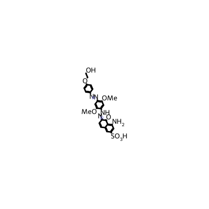 COc1cc(N/N=C2/C=Cc3cc(S(=O)(=O)O)cc(N)c3C2=O)c(OC)cc1/N=N/c1ccc(OCCO)cc1